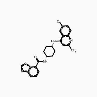 O=C(N[C@H]1CC[C@@H](Nc2cc(C(F)(F)F)nc3ccc(Cl)cc23)CC1)c1cccc2ncsc12